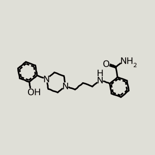 NC(=O)c1ccccc1NCCCN1CCN(c2ccccc2O)CC1